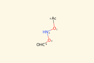 CC(=O)ONOC=O